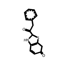 O=C1C=CC2=C(C1)SC(C(=O)Cc1ccccc1)N2